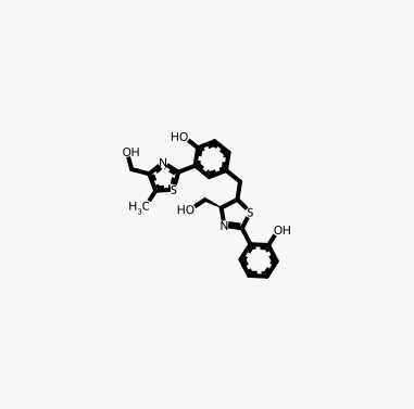 Cc1sc(-c2cc(CC3SC(c4ccccc4O)=N[C@H]3CO)ccc2O)nc1CO